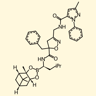 Cc1cc(C(=O)NCC2=NOC(Cc3ccccc3)(C(=O)N[C@@H](CC(C)C)B3O[C@@H]4C[C@@H]5C[C@@H](C5(C)C)[C@]4(C)O3)C2)n(-c2ccccc2)n1